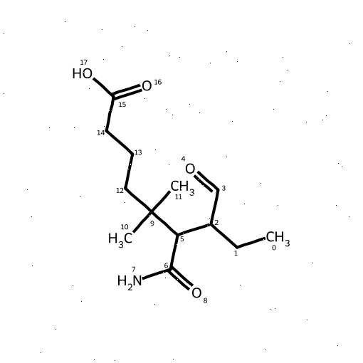 CCC(C=O)C(C(N)=O)C(C)(C)CCCC(=O)O